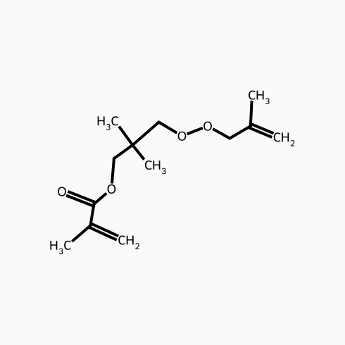 C=C(C)COOCC(C)(C)COC(=O)C(=C)C